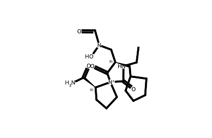 CCNC(=O)[N+]1(C(=O)[C@H](CC2CCCC2)CN(O)C=O)CCC[C@H]1C(N)=O